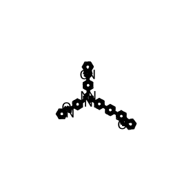 c1ccc2oc(-c3ccc(-c4nc(-c5ccc(-c6ccc(-c7ccc8c(c7)oc7ccccc78)cc6)cc5)nc(-c5ccc(-c6nc7ccccc7o6)cc5)n4)cc3)nc2c1